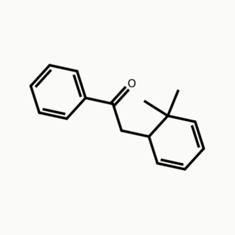 CC1(C)C=CC=CC1CC(=O)c1ccccc1